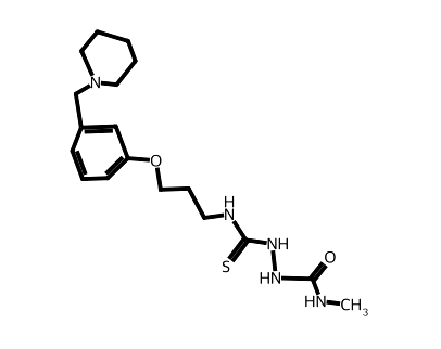 CNC(=O)NNC(=S)NCCCOc1cccc(CN2CCCCC2)c1